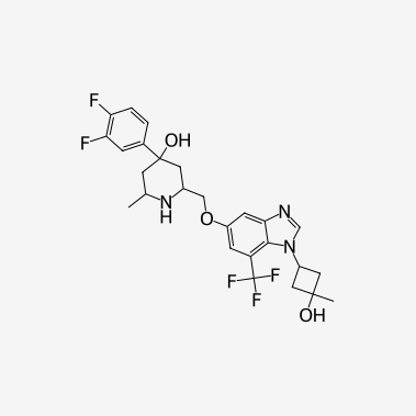 CC1CC(O)(c2ccc(F)c(F)c2)CC(COc2cc(C(F)(F)F)c3c(c2)ncn3C2CC(C)(O)C2)N1